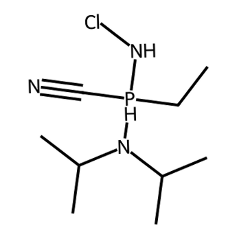 CC[PH](C#N)(NCl)N(C(C)C)C(C)C